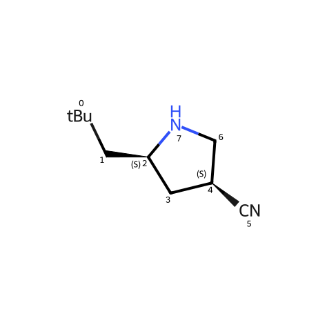 CC(C)(C)C[C@@H]1C[C@H](C#N)CN1